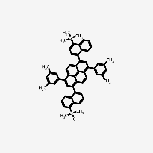 Cc1cc(C)cc(-c2cc(-c3cccc4c([Si](C)(C)C)cccc34)c3ccc4c(-c5cc(C)cc(C)c5)cc(-c5ccc([Si](C)(C)C)c6ccccc56)c5ccc2c3c45)c1